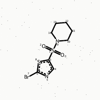 O=S(=O)(c1cnc(Br)s1)N1CCCCC1